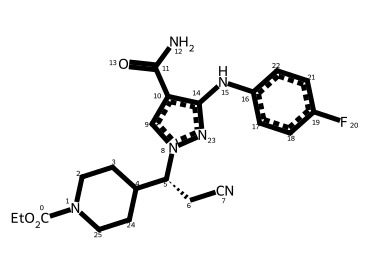 CCOC(=O)N1CCC([C@@H](CC#N)n2cc(C(N)=O)c(Nc3ccc(F)cc3)n2)CC1